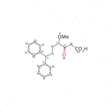 COC(CCC(c1ccccc1)c1ccccc1)C(=O)CC(=O)O